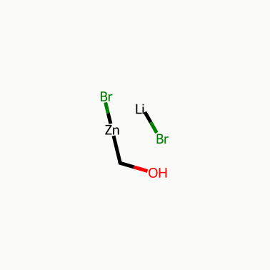 O[CH2][Zn][Br].[Li][Br]